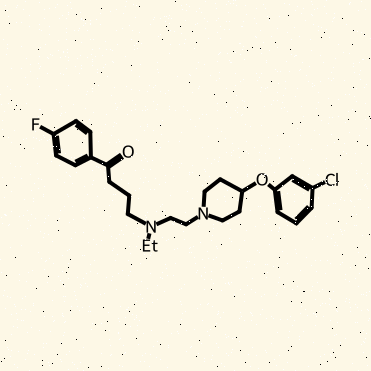 CCN(CCCC(=O)c1ccc(F)cc1)CCN1CCC(Oc2cccc(Cl)c2)CC1